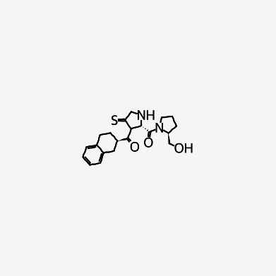 O=C(C1C(=S)CN[C@@H]1C(=O)N1CCC[C@H]1CO)[C@@H]1CCc2ccccc2C1